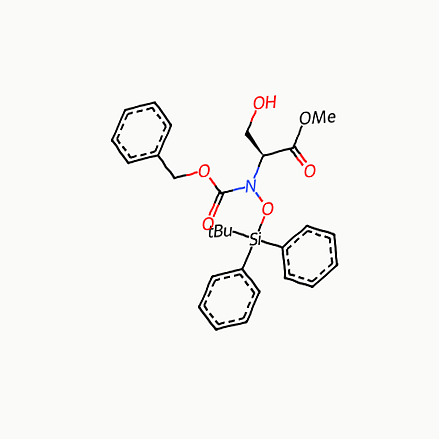 COC(=O)[C@H](CO)N(O[Si](c1ccccc1)(c1ccccc1)C(C)(C)C)C(=O)OCc1ccccc1